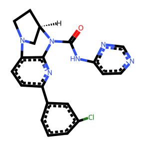 O=C(Nc1ccncn1)N1c2nc(-c3cccc(Cl)c3)ccc2N2CC[C@@H]1C2